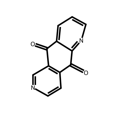 O=C1c2cnccc2C(=O)c2ncccc21